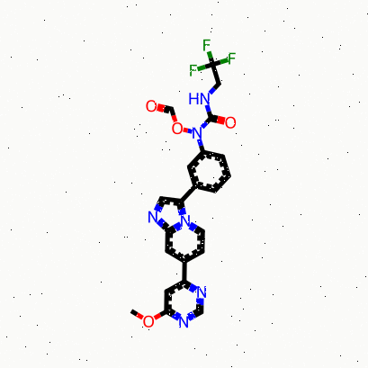 COc1cc(-c2ccn3c(-c4cccc(N(OC=O)C(=O)NCC(F)(F)F)c4)cnc3c2)ncn1